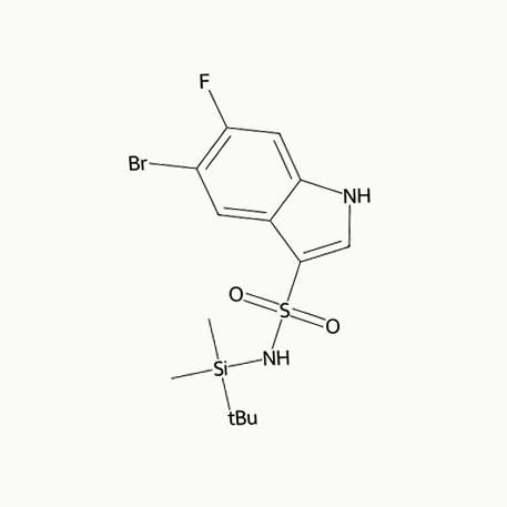 CC(C)(C)[Si](C)(C)NS(=O)(=O)c1c[nH]c2cc(F)c(Br)cc12